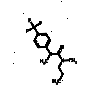 CCCN(C)C(=O)N(C)c1ccc(C(F)(F)F)cc1